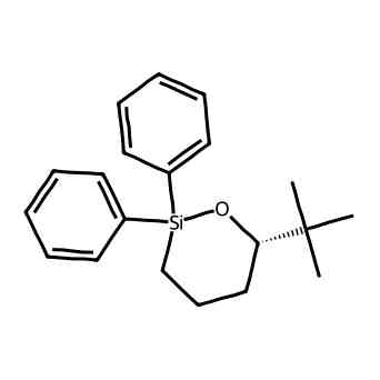 CC(C)(C)[C@@H]1CCC[Si](c2ccccc2)(c2ccccc2)O1